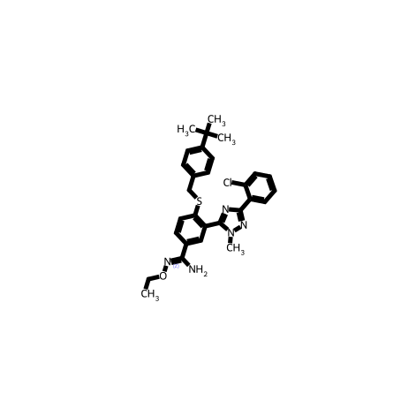 CCO/N=C(\N)c1ccc(SCc2ccc(C(C)(C)C)cc2)c(-c2nc(-c3ccccc3Cl)nn2C)c1